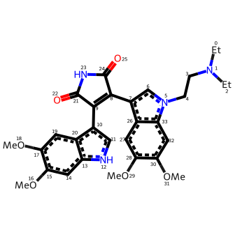 CCN(CC)CCn1cc(C2=C(c3c[nH]c4cc(OC)c(OC)cc34)C(=O)NC2=O)c2cc(OC)c(OC)cc21